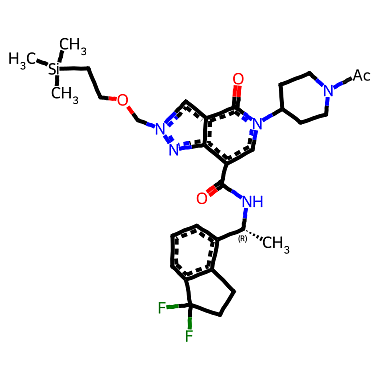 CC(=O)N1CCC(n2cc(C(=O)N[C@H](C)c3cccc4c3CCC4(F)F)c3nn(COCC[Si](C)(C)C)cc3c2=O)CC1